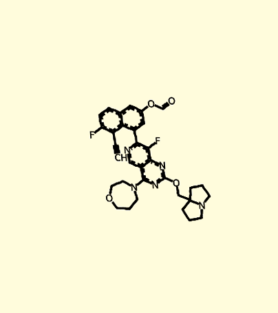 C#Cc1c(F)ccc2cc(OC=O)cc(-c3ncc4c(N5CCCOCC5)nc(OCC56CCCN5CCC6)nc4c3F)c12